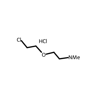 CNCCOCCCl.Cl